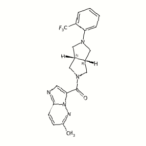 Cc1ccc2ncc(C(=O)N3C[C@@H]4CN(c5ccccc5C(F)(F)F)C[C@@H]4C3)n2n1